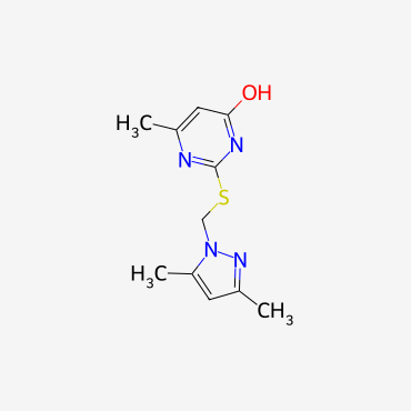 Cc1cc(O)nc(SCn2nc(C)cc2C)n1